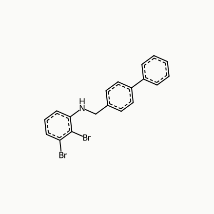 Brc1cccc(NCc2ccc(-c3ccccc3)cc2)c1Br